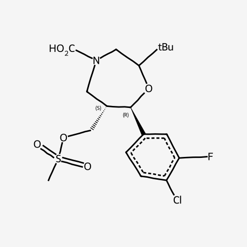 CC(C)(C)C1CN(C(=O)O)C[C@@H](COS(C)(=O)=O)[C@H](c2ccc(Cl)c(F)c2)O1